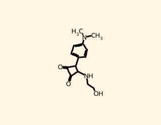 CN(C)c1ccc(C2C(=O)C(=O)C2NCCO)cc1